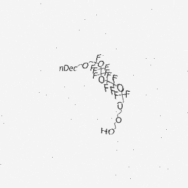 [CH2]CCCCCCCCCCOCC(F)(F)OC(F)(F)C(F)(F)OC(F)(F)C(F)(F)OC(F)(F)COCCOCCO